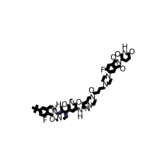 C=N/C(=C(CO)\C(=C/C)c1cc(Nc2cc3n(n2)CCN(C(=O)CCCN2CCN(c4cc5c(cc4F)C(=O)N(C4CCC(=O)NC4=O)C5=O)CC2)C3)c(=O)n(C)c1)n1ncc2cc(C(C)(C)C)cc(F)c2c1=O